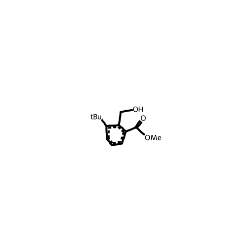 COC(=O)c1cccc(C(C)(C)C)c1CO